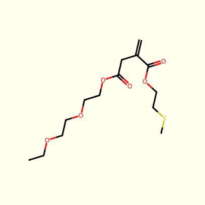 C=C(CC(=O)OCCOCCOCC)C(=O)OCCSC